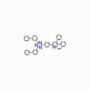 c1ccc(-c2cccc(-c3nc(-c4ccc(-c5cc(-c6ccccc6)c6c(ccc7ccccc76)n5)cc4)nc(-c4cccc(-c5ccccc5)c4)n3)c2)cc1